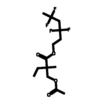 CCC(C)(COC(C)=O)C(=O)OCCC(F)(F)CC(C)(F)F